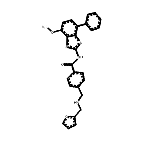 COc1ccc(-c2ccccc2)c2sc(NC(=O)c3ccc(CNCc4ccco4)cc3)nc12